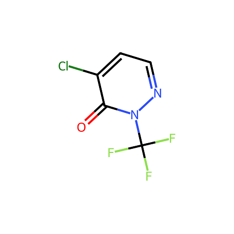 O=c1c(Cl)ccnn1C(F)(F)F